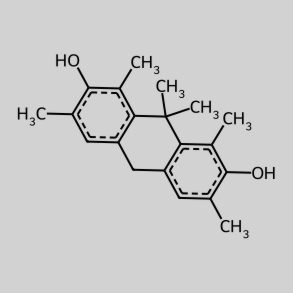 Cc1cc2c(c(C)c1O)C(C)(C)c1c(cc(C)c(O)c1C)C2